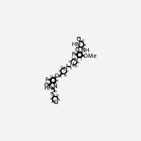 COc1cc(N2CCN(CCN3CCC(COc4cc(F)c5c(=O)[nH]c(CSC6CCOCC6)nc5c4)CC3)CC2)c(F)cc1NC1CCC(=O)NC1=O